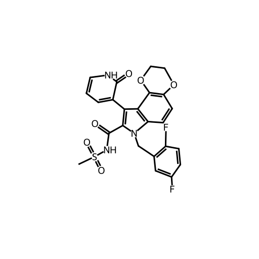 CS(=O)(=O)NC(=O)c1c(-c2ccc[nH]c2=O)c2c3c(ccc2n1Cc1cc(F)ccc1F)OCCO3